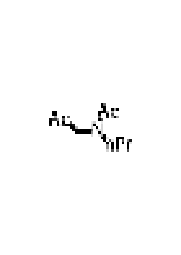 CCCN(CC(C)=O)C(C)=O